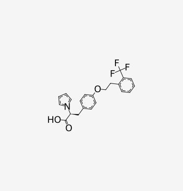 O=C(O)[C@H](Cc1ccc(OCCc2ccccc2C(F)(F)F)cc1)n1cccc1